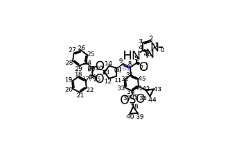 Cn1ccc(NC(=O)/C(=C/[C@H]2CCC3(C2)O[C@H](c2ccccc2)[C@@H](c2ccccc2)O3)c2ccc(S(=O)(=O)C3CC3)c(C3CC3)c2)n1